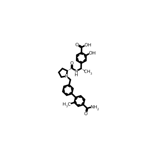 Cc1cc(C(N)=O)ccc1-c1cccc(CN2CCC[C@@H]2C(=O)N[C@@H](C)c2ccc(C(=O)O)c(O)c2)c1